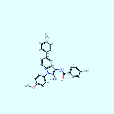 CC(C)Oc1ccc(-n2c(C(=O)O)c(NC(=O)c3ccc(Cl)cc3)c3cc(-c4ccc(C(F)(F)F)cc4)ccc32)cc1